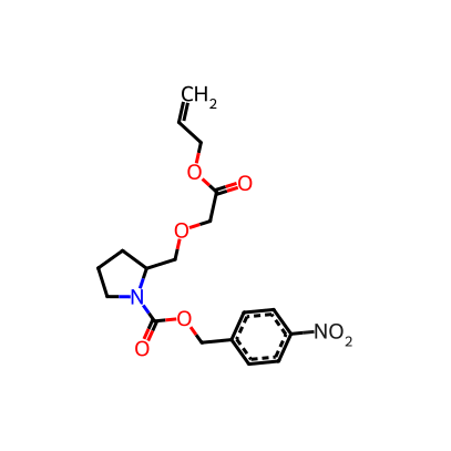 C=CCOC(=O)COCC1CCCN1C(=O)OCc1ccc([N+](=O)[O-])cc1